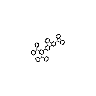 c1ccc(N(c2ccccc2)c2cc(-c3ccc4c5ccc(-n6c7ccccc7c7ccccc76)cc5c5ccccc5c4c3)cc(N(c3ccccc3)c3ccccc3)c2)cc1